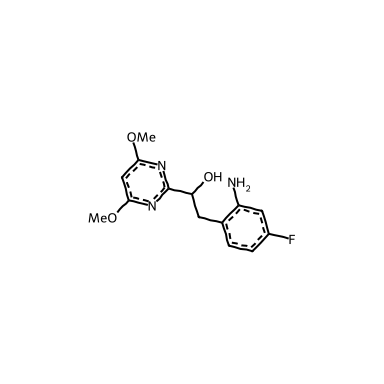 COc1cc(OC)nc(C(O)Cc2ccc(F)cc2N)n1